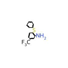 Nc1cc(C(F)(F)F)ccc1Sc1ccccc1